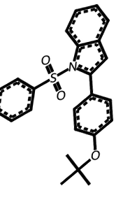 CC(C)(C)Oc1ccc(-c2cc3ccccc3n2S(=O)(=O)c2ccccc2)cc1